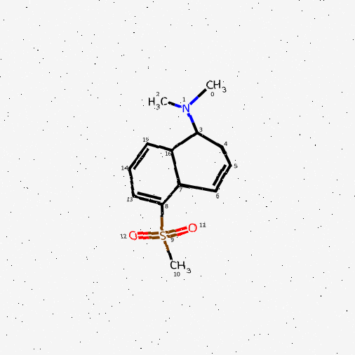 CN(C)C1CC=CC2C(S(C)(=O)=O)=CC=CC21